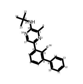 Cc1nc(-c2cccc(-c3ccccc3)c2F)cnc1NC(C)(C)C